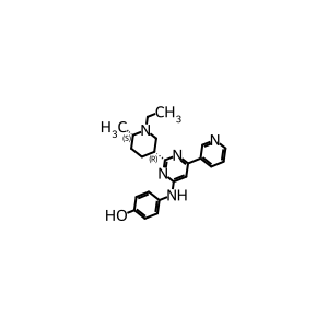 CCN1C[C@H](c2nc(Nc3ccc(O)cc3)cc(-c3cccnc3)n2)CC[C@@H]1C